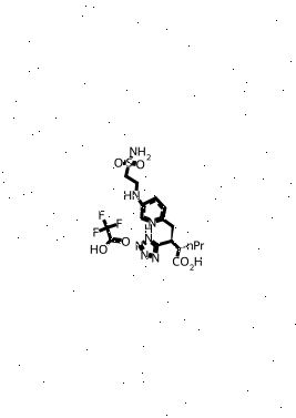 CCC[C@H](C(=O)O)[C@H](Cc1ccc(NCCS(N)(=O)=O)cn1)c1nnn[nH]1.O=C(O)C(F)(F)F